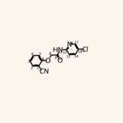 N#Cc1ccccc1OCC(=O)Nc1ccc(Cl)cn1